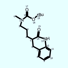 CN(CCCC1Cc2ccccc2NC1=O)C(=O)OC(C)(C)C